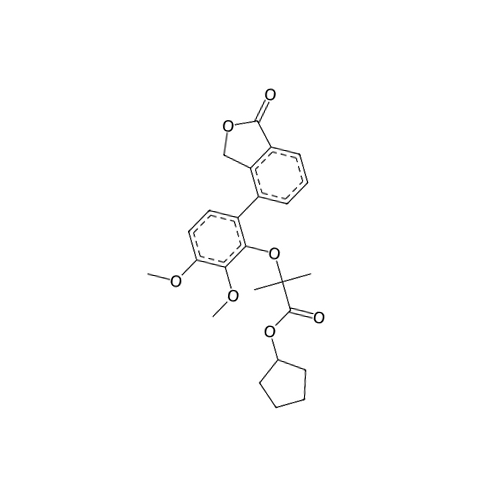 COc1ccc(-c2cccc3c2COC3=O)c(OC(C)(C)C(=O)OC2CCCC2)c1OC